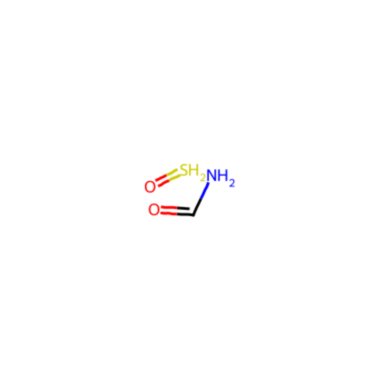 NC=O.O=[SH2]